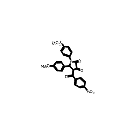 CCOC(=O)c1ccc(N2C(=O)C(=O)C(C(=O)c3ccc([N+](=O)[O-])cc3)C2c2ccc(OC)cc2)cc1